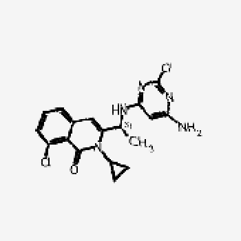 C[C@H](Nc1cc(N)nc(Cl)n1)c1cc2cccc(Cl)c2c(=O)n1C1CC1